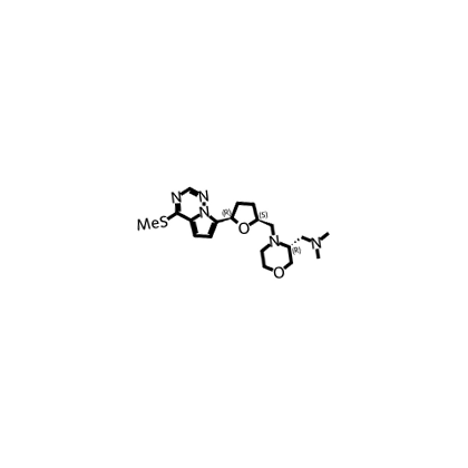 CSc1ncnn2c([C@H]3CC[C@@H](CN4CCOC[C@H]4CN(C)C)O3)ccc12